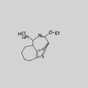 CCCC1N=C(OCC)c2cc3c(s2)CCCCC31.Cl